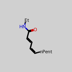 CCCCC/C=C\C=C\C(=O)NCC